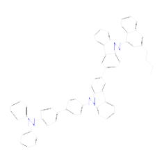 CCCCc1cc(-n2c3ccccc3c3cc(-c4ccc5c(c4)c4ccccc4n5-c4ccc(-c5ccc(N(c6ccccc6)c6ccccc6)cc5)cc4)ccc32)c2ccccc2c1